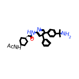 CC(=O)N[C@H]1CC[C@H](CC(=O)Nc2cc(-c3ccccc3)c(-c3ccc(C(C)(C)N)cc3)cn2)CC1